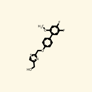 COc1cc(F)c(F)cc1-c1ccc(OCc2nc(CO)cs2)cc1